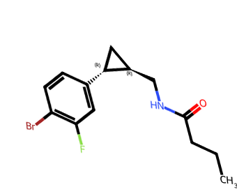 CCCC(=O)NC[C@@H]1C[C@H]1c1ccc(Br)c(F)c1